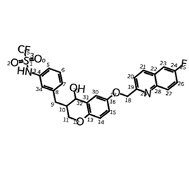 O=S(=O)(Nc1cccc(CC2COc3ccc(OCc4ccc5cc(F)ccc5n4)cc3C2O)c1)C(F)(F)F